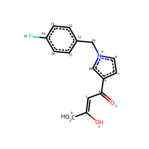 O=C(O)/C(O)=C/C(=O)c1ccn(Cc2ccc(F)cc2)c1